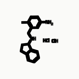 Cc1ccc(N)cc1CNC1CCc2ccccc21.Cl.Cl